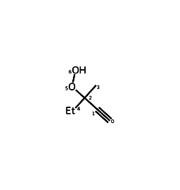 C#CC(C)(CC)OO